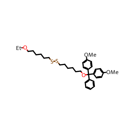 CCOCCCCCCSSCCCCCCOC(c1ccccc1)(c1ccc(OC)cc1)c1ccc(OC)cc1